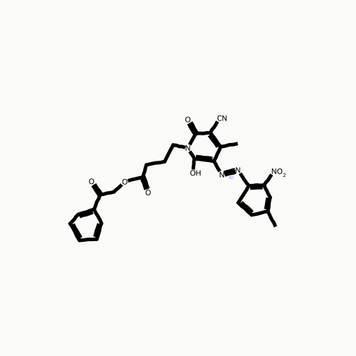 Cc1ccc(/N=N/c2c(C)c(C#N)c(=O)n(CCCC(=O)OCC(=O)c3ccccc3)c2O)c([N+](=O)[O-])c1